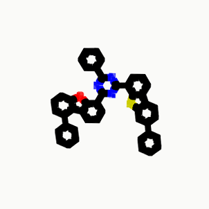 c1ccc(-c2ccc3c(c2)sc2c(-c4nc(-c5ccccc5)nc(-c5cccc6c5oc5cccc(-c7ccccc7)c56)n4)cccc23)cc1